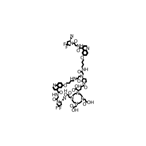 N#C[C@@H]1CC(F)(F)CN1C(=O)CNC(=O)c1ccnc2ccc(OCCCCNC(=O)CN(CC(=O)NCCCCOc3ccc4nccc(C(=O)NCC(=O)N5CC(F)(F)C[C@H]5C#N)c4c3)[C@H]3CCN(C(=O)CCC(C(=O)O)N4CCN(CC(=O)O)CCN(CC(=O)O)CCN(CC(=O)O)CC4)C3)cc12